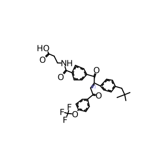 CC(C)(C)Cc1ccc(/C(=C\C(=O)c2ccc(OC(F)(F)F)cc2)C(=O)c2ccc(C(=O)NCCC(=O)O)cc2)cc1